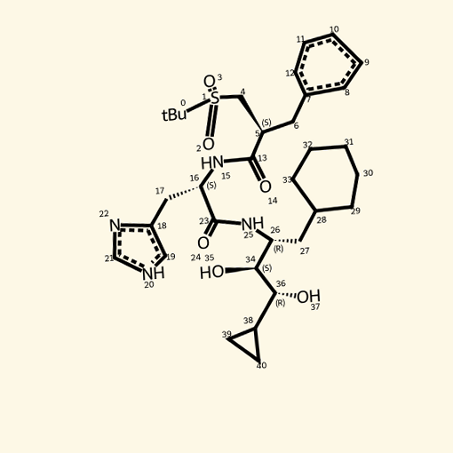 CC(C)(C)S(=O)(=O)C[C@@H](Cc1ccccc1)C(=O)N[C@@H](Cc1c[nH]cn1)C(=O)N[C@H](CC1CCCCC1)[C@H](O)[C@H](O)C1CC1